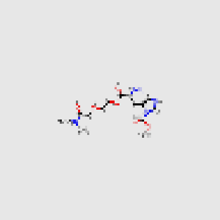 CN(C)C(=O)COCCOC(=O)C(N)Cc1cncn1C(=O)OC(C)(C)C